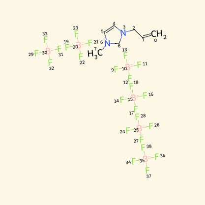 C=CCN1C=CN(C)C1.F[B-](F)(F)F.F[B-](F)(F)F.F[B-](F)(F)F.F[B-](F)(F)F.F[B-](F)(F)F.F[B-](F)(F)F